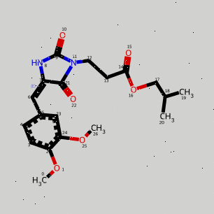 COc1ccc(/C=C2/NC(=O)N(CCC(=O)OCC(C)C)C2=O)cc1OC